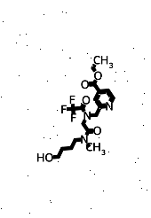 CCOC(=O)c1ccnc(CN(CC(=O)N(C)CCCCO)C(=O)C(F)(F)F)c1